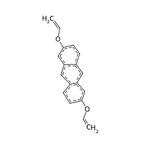 C=COc1ccc2cc3cc(OC=C)ccc3cc2c1